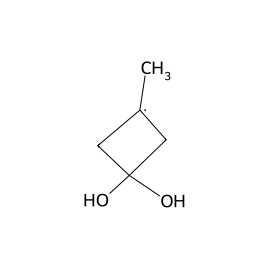 C[C]1CC(O)(O)C1